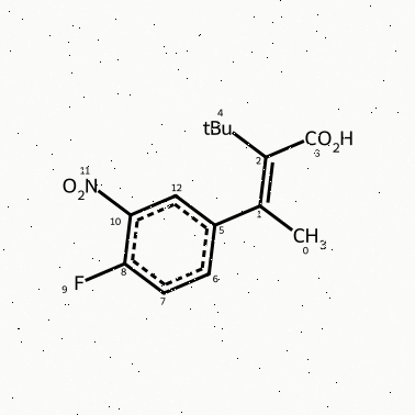 CC(=C(C(=O)O)C(C)(C)C)c1ccc(F)c([N+](=O)[O-])c1